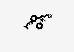 CC(C)COc1cccc(-c2cc(CBr)nn2-c2ccccc2)c1